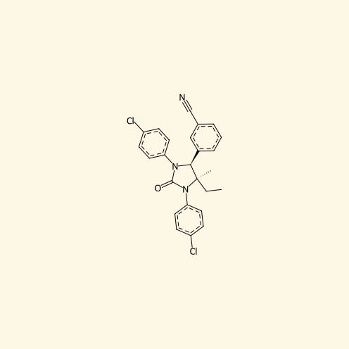 CC[C@]1(C)[C@H](c2cccc(C#N)c2)N(c2ccc(Cl)cc2)C(=O)N1c1ccc(Cl)cc1